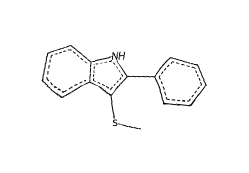 CSc1c(-c2ccccc2)[nH]c2ccccc12